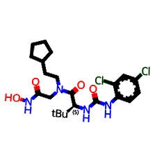 CC(C)(C)[C@H](NC(=O)Nc1ccc(Cl)cc1Cl)C(=O)N(CCC1CCCC1)CC(=O)NO